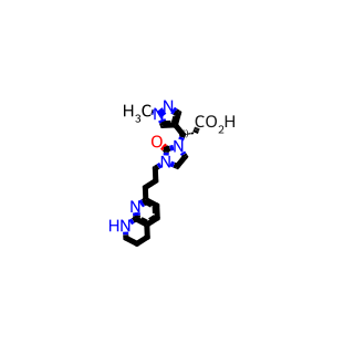 Cn1cc([C@H](CC(=O)O)N2CCN(CCCc3ccc4c(n3)NCCC4)C2=O)cn1